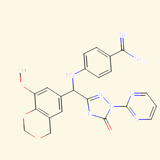 COc1cc(C(Nc2ccc(C(=N)N)cc2)c2nn(-c3ncccn3)c(=O)[nH]2)cc2c1OCOC2